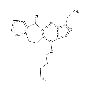 CCCCOc1c2c(nc3c1cnn3CC)C(O)c1ccccc1CC2